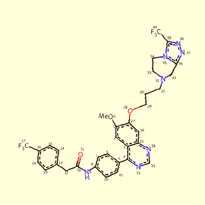 COc1cc2c(-c3ccc(NC(=O)Cc4ccc(C(F)(F)F)cc4)cc3)ncnc2cc1OCCCN1CCn2c(nnc2C(F)(F)F)C1